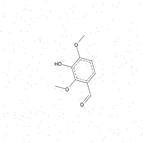 COc1ccc(C=O)c(OC)c1O